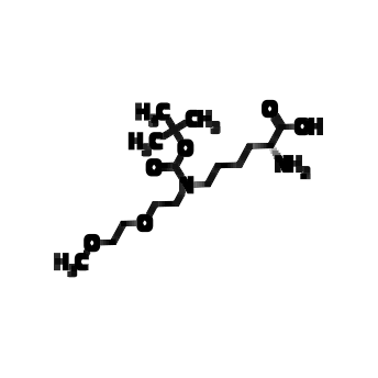 COCCOCCN(CCCC[C@@H](N)C(=O)O)C(=O)OC(C)(C)C